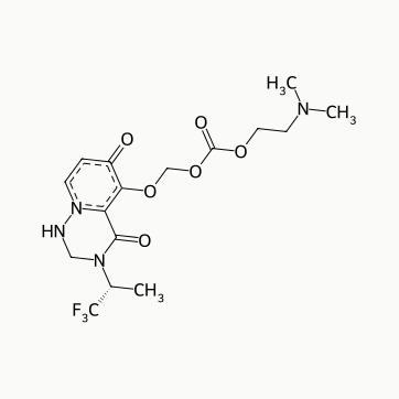 C[C@@H](N1CNn2ccc(=O)c(OCOC(=O)OCCN(C)C)c2C1=O)C(F)(F)F